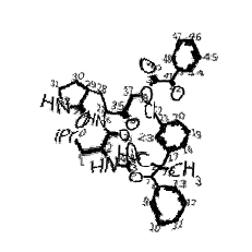 CC(C)CC(NC(=O)OC(c1ccccc1)C(C)(C)c1cccc(Cl)c1)C(=O)NC(C[C@@H]1CCNC1=O)C(=O)COC(=O)C(=O)c1ccccc1